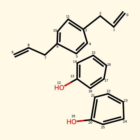 C=CCc1ccc(CC=C)cc1.Oc1ccccc1.Oc1ccccc1